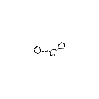 N=C(C=Cc1ccccc1)C=Cc1ccccc1